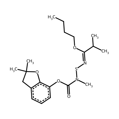 CCCCO/C(=N\SN(C)C(=O)Oc1cccc2c1OC(C)(C)C2)C(C)C